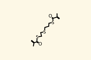 C=C(C)C(=O)SCCCSCCSC(=O)C(=C)C